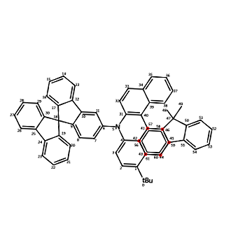 CC(C)(C)c1ccc(N(c2ccc3c(c2)-c2ccccc2C32c3ccccc3-c3ccccc32)c2ccc3ccccc3c2-c2cccc3c2C(C)(C)c2ccccc2-3)c2ccccc12